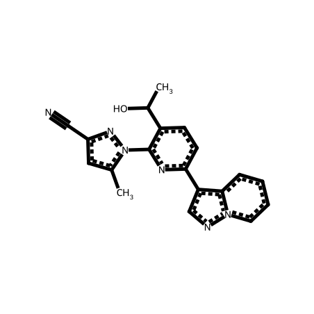 Cc1cc(C#N)nn1-c1nc(-c2cnn3ccccc23)ccc1C(C)O